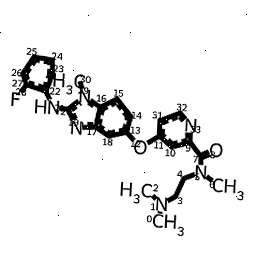 CN(C)CCN(C)C(=O)c1cc(Oc2ccc3c(c2)nc(Nc2ccccc2F)n3C)ccn1